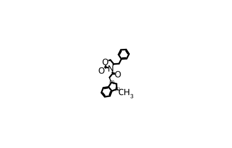 C[C@H]1C[C@H](CC(=O)N2C(=O)OCC2Cc2ccccc2)c2ccccc21